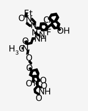 CCC(=O)N1CCN(c2nc(NCCC(=O)N(C)CCOCCOc3ccc4c(c3)C(=O)N(C3CCC(=O)NC3=O)C4=O)nc3c(F)c(-c4cc(O)cc5ccccc45)c(Cl)cc23)CC1